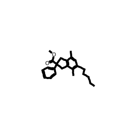 CCCCCc1cc(C)c2c(c1C)CC(C(=O)OC)(c1ccccc1)C2